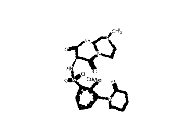 COc1c(N2CCCCC2=O)cccc1S(=O)(=O)N[C@@H](C(N)=O)C(=O)N1CCN(C)CC1